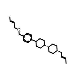 CC=CCOCc1ccc(C2CCC([C@H]3CC[C@H](C/C=C/C)CC3)CC2)cc1